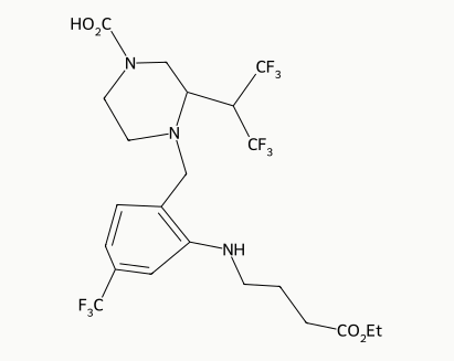 CCOC(=O)CCCNc1cc(C(F)(F)F)ccc1CN1CCN(C(=O)O)CC1C(C(F)(F)F)C(F)(F)F